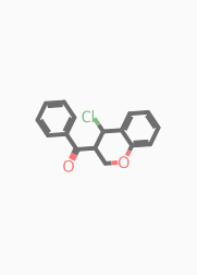 O=C(c1ccccc1)C1COc2ccccc2C1Cl